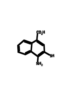 Nc1c(S)cc(C(=O)O)c2ccccc12